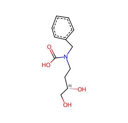 O=C(O)N(CC[C@H](O)CO)Cc1ccccc1